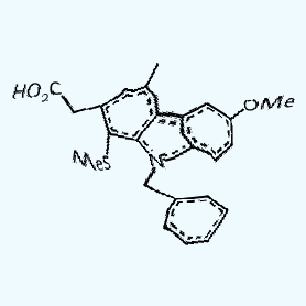 COc1ccc2c(c1)c1c(C)cc(CC(=O)O)c(SC)c1n2Cc1ccccc1